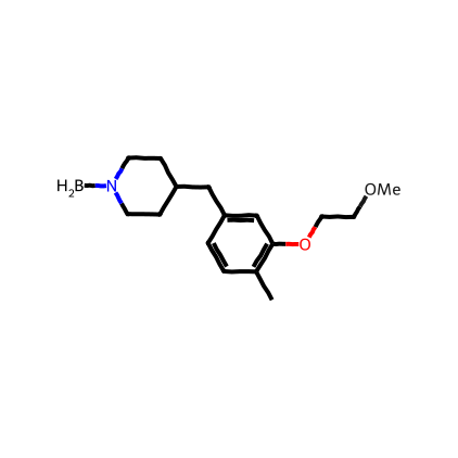 BN1CCC(Cc2ccc(C)c(OCCOC)c2)CC1